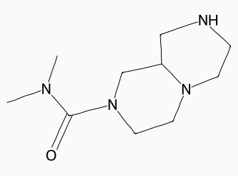 CN(C)C(=O)N1CCN2CCNCC2C1